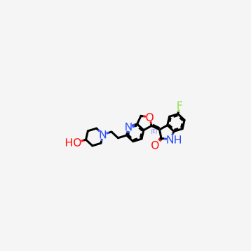 O=C1Nc2ccc(F)cc2/C1=C1\OCc2nc(CCN3CCC(O)CC3)ccc21